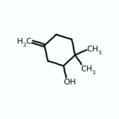 C=C1CCC(C)(C)C(O)C1